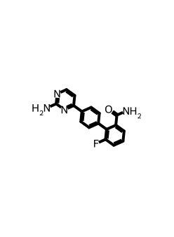 NC(=O)c1cccc(F)c1-c1ccc(-c2ccnc(N)n2)cc1